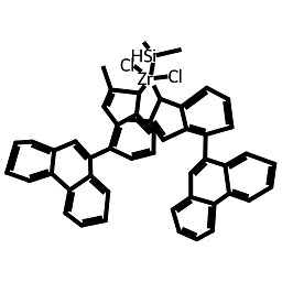 CC1=Cc2c(-c3cc4ccccc4c4ccccc34)cccc2[CH]1[Zr]([Cl])([Cl])([CH]1C(C)=Cc2c(-c3cc4ccccc4c4ccccc34)cccc21)[SiH](C)C